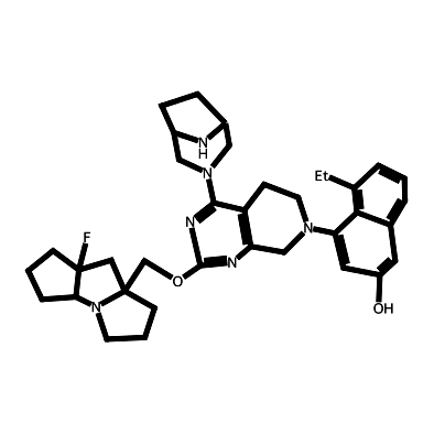 CCc1cccc2cc(O)cc(N3CCc4c(nc(OCC56CCCN5C5CCCC5(F)C6)nc4N4CC5CCC(C4)N5)C3)c12